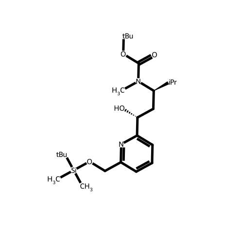 CC(C)[C@@H](C[C@@H](O)c1cccc(CO[Si](C)(C)C(C)(C)C)n1)N(C)C(=O)OC(C)(C)C